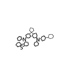 c1ccc(N(c2ccc(C3CCCCC3)cc2)c2ccc(C3(c4ccc(N(c5ccccc5)c5cccc6sc7ccccc7c56)cc4)CCCC3)cc2)cc1